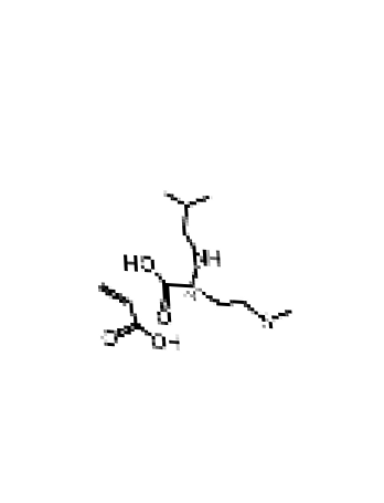 C=CC(=O)O.CSCC[C@H](NCC(C)C)C(=O)O